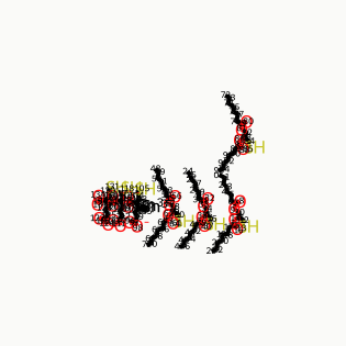 CCCCCCCC(=O)OCC(CS)OC(=O)CCCCCCC.CCCCCCCC(=O)OCC(CS)OC(=O)CCCCCCC.CCCCCCCC(=O)OCC(CS)OC(=O)CCCCCCC.CCCCCCCC(=O)OCC(CS)OC(=O)CCCCCCC.O=C([O-])CCCC(CCS)C(=O)[O-].O=C([O-])CCCC(CCS)C(=O)[O-].O=C([O-])CCCC(CCS)C(=O)[O-].[CH3][Sn+3].[CH3][Sn+3]